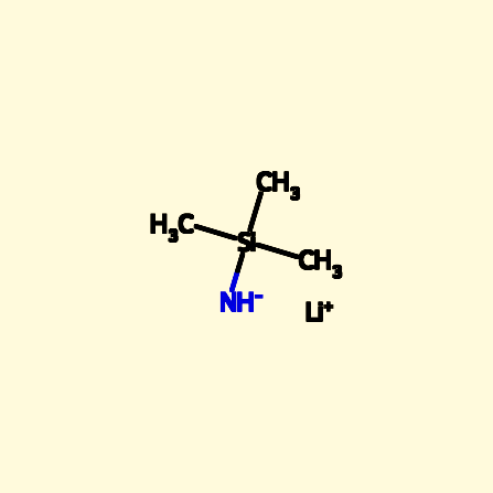 C[Si](C)(C)[NH-].[Li+]